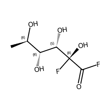 C[C@@H](O)[C@@H](O)[C@H](O)[C@@](O)(F)C(=O)F